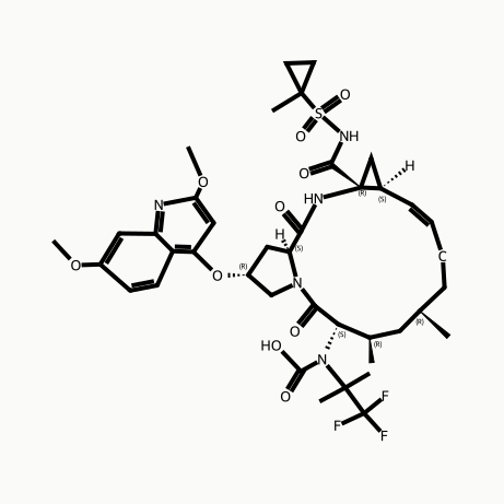 COc1ccc2c(O[C@@H]3C[C@H]4C(=O)N[C@]5(C(=O)NS(=O)(=O)C6(C)CC6)C[C@H]5C=CCC[C@@H](C)C[C@@H](C)[C@H](N(C(=O)O)C(C)(C)C(F)(F)F)C(=O)N4C3)cc(OC)nc2c1